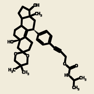 CC(C)NC(=O)OCC#Cc1ccc([C@H]2CC3(C)C(O)CCC3C3CC[C@@]4(O)CC5(CCC4=C32)OCC(C)(C)CO5)cc1